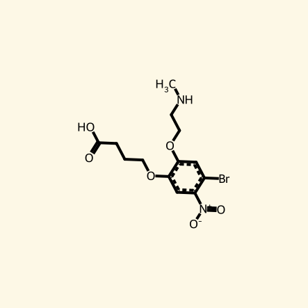 CNCCOc1cc(Br)c([N+](=O)[O-])cc1OCCCC(=O)O